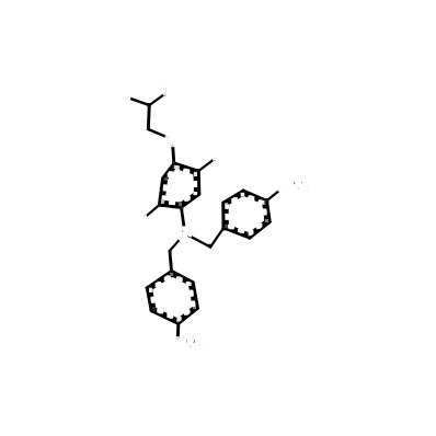 COc1ccc(CN(Cc2ccc(OC)cc2)c2cc(F)c(OCC(F)F)cc2F)cc1